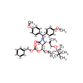 C=C(CO[Si](C)(C)C(C)(C)C)[C@@H]1[C@@H]([C@@H](C)OC(=O)OCc2ccccc2)C(=O)N1C(c1ccc(OC)cc1)c1ccc(OC)cc1